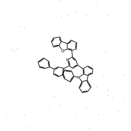 c1ccc(-c2cccc(-c3cc(-c4cccc5c6ccccc6n(-c6ccccc6)c45)cc(-c4cccc5c4oc4ccccc45)n3)c2)cc1